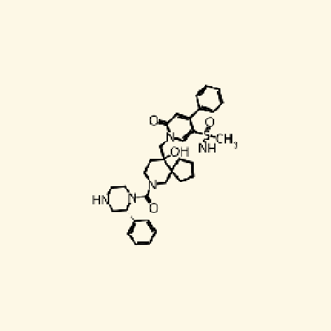 CS(=N)(=O)c1cn(CC2(O)CCN(C(=O)N3CCNC[C@H]3c3ccccc3)CC23CCCC3)c(=O)cc1-c1ccccc1